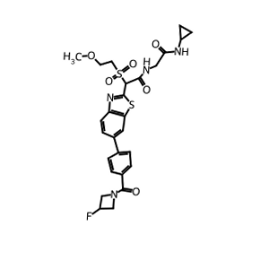 COCCS(=O)(=O)C(C(=O)NCC(=O)NC1CC1)c1nc2ccc(-c3ccc(C(=O)N4CC(F)C4)cc3)cc2s1